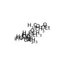 CCC(=O)OCCOC(C)(C)CCOC(C)(C)C(C)(CC)CC(C)OC(C)(CC)C(C)(C)COC(C)C